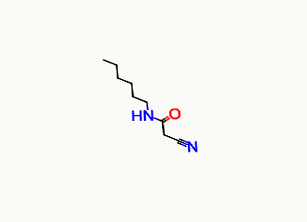 CCCCCCNC(=O)CC#N